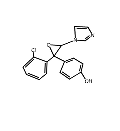 Oc1ccc(C2(c3ccccc3Cl)OC2n2ccnc2)cc1